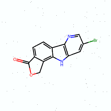 O=C1OCc2c1ccc1c2[nH]c2cc(Br)cnc21